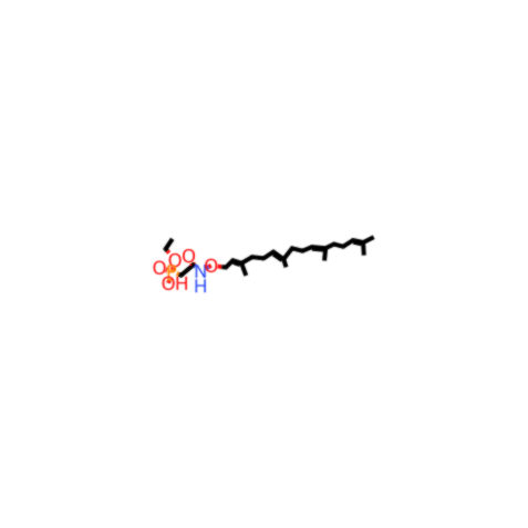 CCOP(=O)(O)CC(=O)NOC/C=C(\C)CC/C=C(\C)CC/C=C(\C)CCC=C(C)C